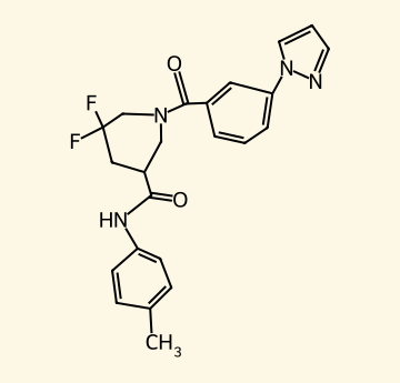 Cc1ccc(NC(=O)C2CN(C(=O)c3cccc(-n4cccn4)c3)CC(F)(F)C2)cc1